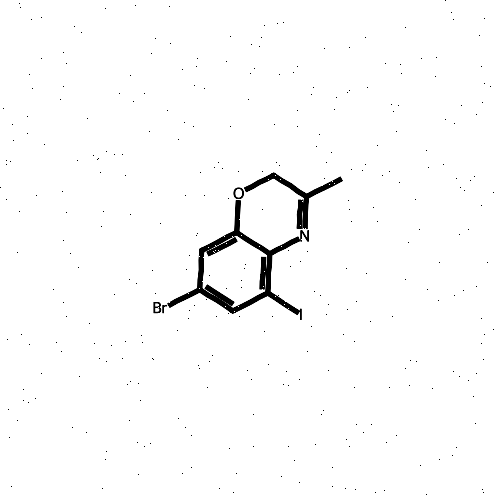 CC1=Nc2c(I)cc(Br)cc2OC1